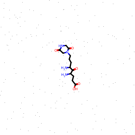 NC(CCCN1CC(=O)NCC1=O)C(=O)C(N)CCC(=O)O